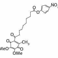 COC1=C(OC)C(=O)C(C(=O)CCCCCCCCC(=O)Oc2ccc([N+](=O)[O-])cc2)=C(C)C1=O